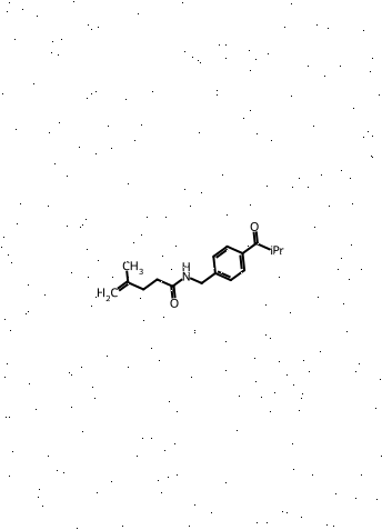 C=C(C)CCC(=O)NCc1ccc(C(=O)C(C)C)cc1